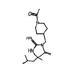 C=C1N(CC2CCN(C(C)=O)CC2)C(=N)NC1(C)CC(C)C